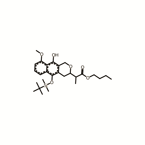 CCCCOC(=O)C(C)C1Cc2c(c(O)c3c(OC)cccc3c2O[Si](C)(C)C(C)(C)C)CO1